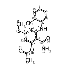 CSc1nc(Nc2cccnc2Cl)c(C(N)=O)c(OC(C)=O)n1